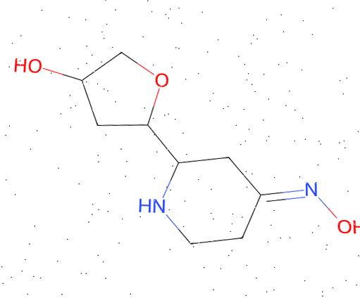 ON=C1CCNC(C2CC(O)CO2)C1